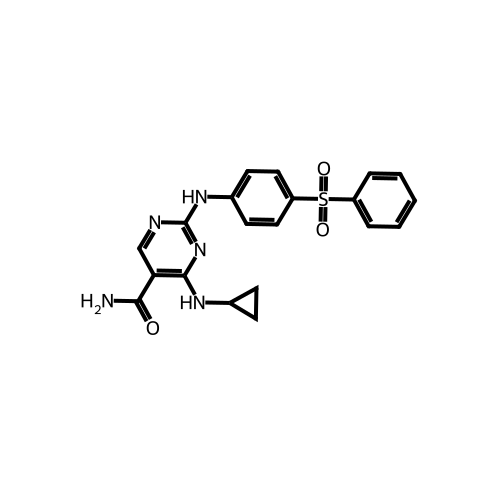 NC(=O)c1cnc(Nc2ccc(S(=O)(=O)c3ccccc3)cc2)nc1NC1CC1